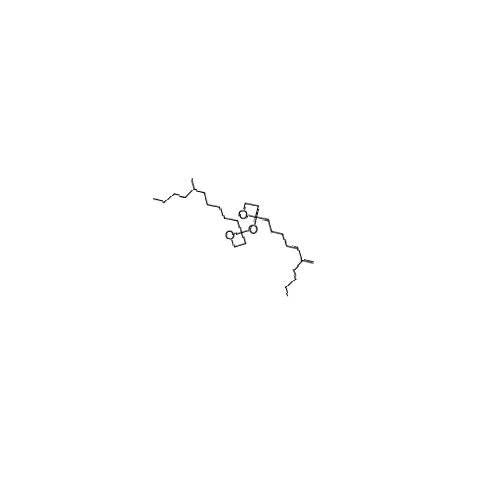 CCCCC(C)CCCCCC1(OC2(CCCCCC(C)CCCC)CCO2)CCO1